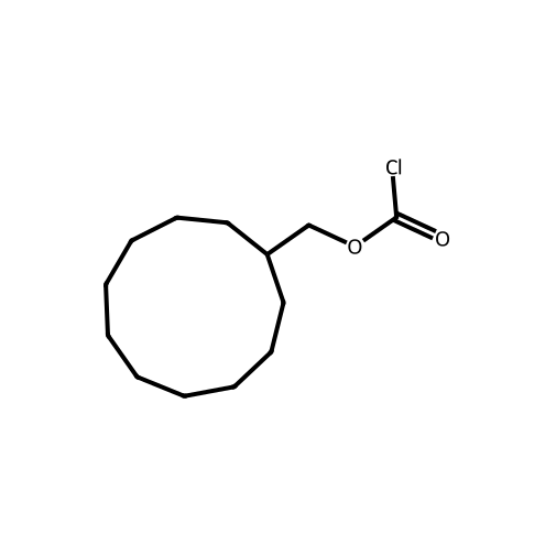 O=C(Cl)OCC1CCCCCCCCCC1